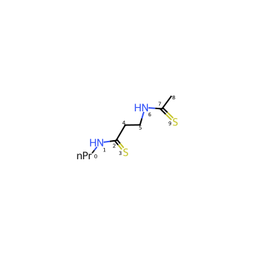 CCCNC(=S)CCNC(C)=S